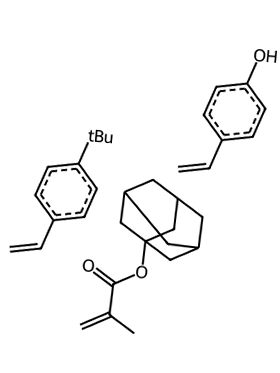 C=C(C)C(=O)OC12CC3CC(CC(C3)C1)C2.C=Cc1ccc(C(C)(C)C)cc1.C=Cc1ccc(O)cc1